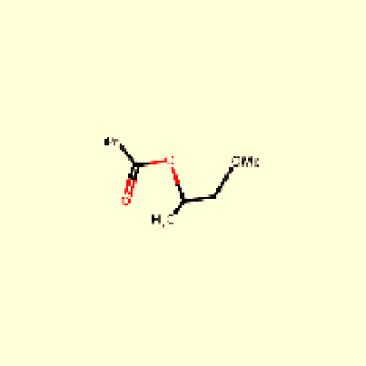 COCC(C)OC(=O)C(C)C